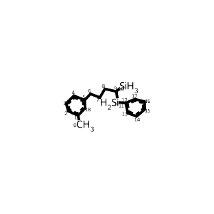 Cc1cccc(CCCC([SiH3])[SiH2]c2ccccc2)c1